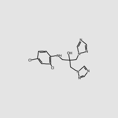 OC(CNc1ccc(Cl)cc1Cl)(Cn1cncn1)Cn1cncn1